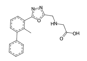 Cc1c(-c2ccccc2)cccc1-c1nnc(CNCC(=O)O)o1